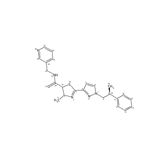 CC1N=C(c2ccn(C[C@@H](C)c3ccccc3)n2)SC1C(=O)NCc1cccnc1